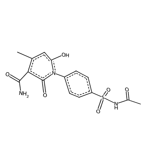 CC(=O)NS(=O)(=O)c1ccc(-n2c(O)cc(C)c(C(N)=O)c2=O)cc1